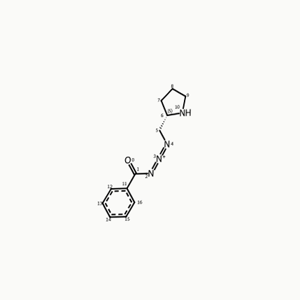 O=C(N=[N+]=NC[C@@H]1CCCN1)c1ccccc1